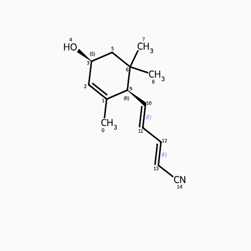 CC1=C[C@@H](O)CC(C)(C)[C@H]1/C=C/C=C/C#N